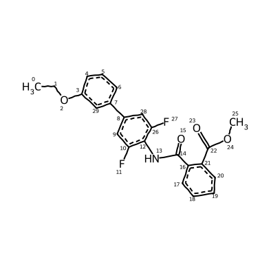 CCOc1cccc(-c2cc(F)c(NC(=O)c3ccccc3C(=O)OC)c(F)c2)c1